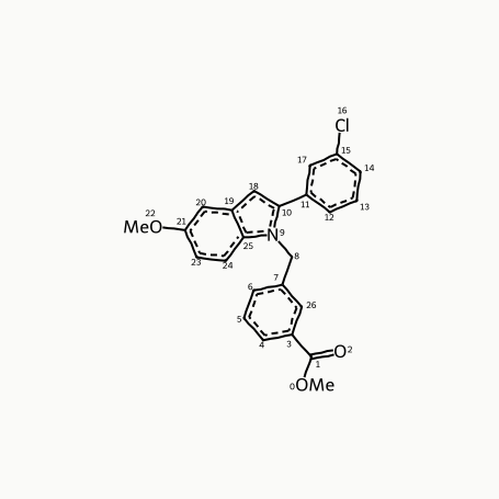 COC(=O)c1cccc(Cn2c(-c3cccc(Cl)c3)cc3cc(OC)ccc32)c1